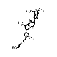 CC1=CC(N2CCN(CCOCCO)[C@H](C)C2)=CN2C(=O)\C=C(c3cc4c(C)nc(C)cn4n3)/C=C/C=C\12